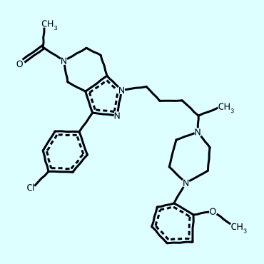 COc1ccccc1N1CCN(C(C)CCCn2nc(-c3ccc(Cl)cc3)c3c2CCN(C(C)=O)C3)CC1